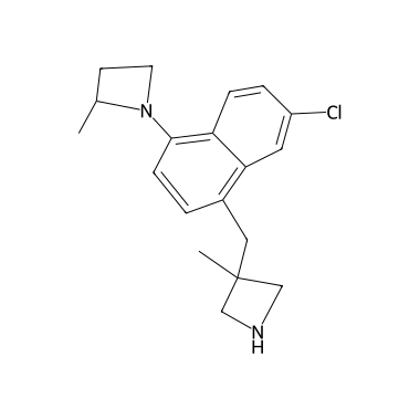 CC1CCN1c1ccc(CC2(C)CNC2)c2cc(Cl)ccc12